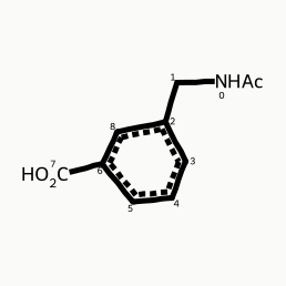 CC(=O)NCc1cccc(C(=O)O)c1